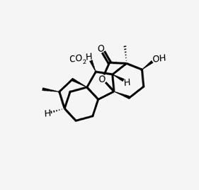 C[C@H]1C[C@]23C[C@H]1CCC2[C@]12CC[C@H](O)[C@](C)(C(=O)O1)[C@H]2[C@@H]3C(=O)O